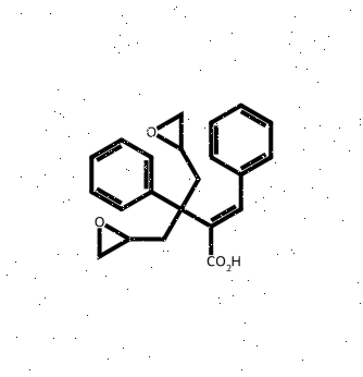 O=C(O)C(=Cc1ccccc1)C(CC1CO1)(CC1CO1)c1ccccc1